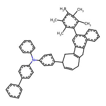 Bc1c(C)c(C)c(-c2cc3c(c4ccccc24)CC2=C3CC(c3ccc(N(c4ccccc4)c4ccc(-c5ccccc5)cc4)cc3)C=CC2)c(C)c1C